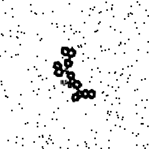 CC1(C)c2cc(N(c3ccc(-c4cccc5ccccc45)cc3)c3cccc4ccccc34)ccc2-c2ccc(-n3c4ccccc4c4cc5ccccc5cc43)cc21